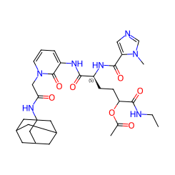 CCNC(=O)C(CC[C@H](NC(=O)c1cncn1C)C(=O)Nc1cccn(CC(=O)NC23CC4CC(CC(C4)C2)C3)c1=O)OC(C)=O